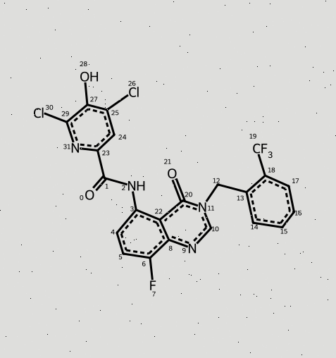 O=C(Nc1ccc(F)c2ncn(Cc3ccccc3C(F)(F)F)c(=O)c12)c1cc(Cl)c(O)c(Cl)n1